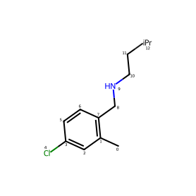 Cc1cc(Cl)ccc1CNCCC(C)C